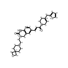 O=C(/C=C/c1cnc2c(c1)CN(CCN1CCC3(CC1)COC3)C(=O)N2)N1CC=C(Cc2cccs2)CC1